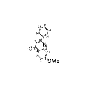 COc1ccc2c([O])cc(-c3ccccc3)nc2c1